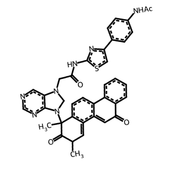 CC(=O)Nc1ccc(-c2csc(NC(=O)CN3CN(C4(C)C(=O)C(C)C=c5c4ccc4c5=CC(=O)c5ccccc5-4)c4ncncc43)n2)cc1